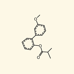 COc1cccc(-c2ccccc2OC(=O)C(C)C)c1